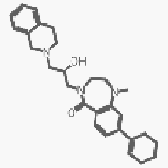 CN1CCN(C[C@H](O)CN2CCc3ccccc3C2)C(=O)c2ccc(C3=CCCCC3)cc21